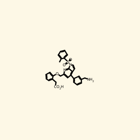 Cc1ccccc1S(=O)(=O)n1ccc2c(-c3cccc(CN)c3)cc(COc3ccccc3CC(=O)O)nc21